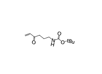 C=CC(=O)CCCNC(=O)OC(C)(C)C